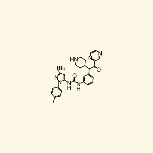 Cc1ccc(-n2nc(C(C)(C)C)cc2NC(=O)Nc2cccc(C(C(=O)c3cnccn3)C3CCNCC3)c2)cc1